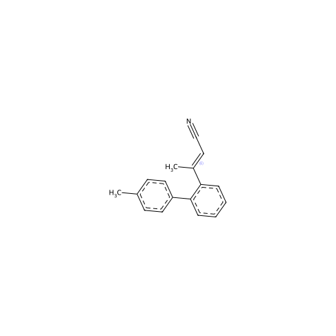 C/C(=C\C#N)c1ccccc1-c1ccc(C)cc1